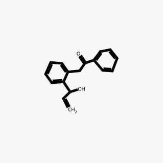 C=CC(O)c1ccccc1CC(=O)c1ccccc1